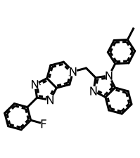 Cc1ccc(-n2c(Cn3ccc4nc(-c5ccccc5F)nc-4c3)nc3ccccc32)cc1